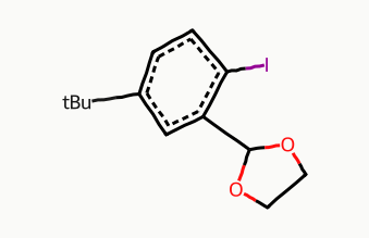 CC(C)(C)c1ccc(I)c(C2OCCO2)c1